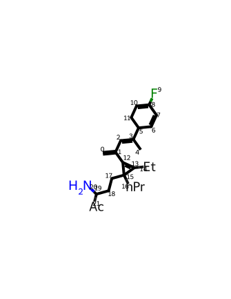 C=C(/C=C(\C)C1C=CC(F)=CC1)C1=C(CC)C1(CCC)CCC(N)C(C)=O